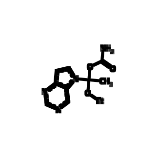 CCOC(C)(OC(N)=O)n1ccc2ncncc21